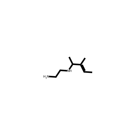 C/C=C(\C)C(C)NCCN